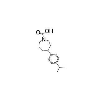 CC(C)c1ccc(C2CCCN(C(=O)O)CC2)cc1